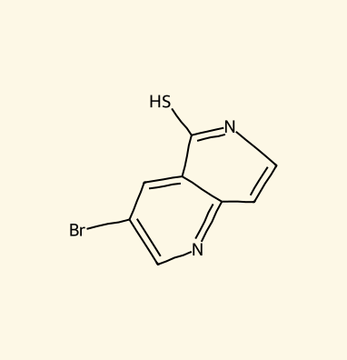 Sc1nccc2ncc(Br)cc12